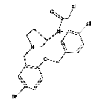 O=C(CCl)NC1CCN(Cc2cc(Br)ccc2OCc2ccc(Cl)cc2)C1